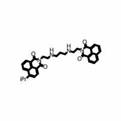 CC(C)c1ccc2c3c(cccc13)C(=O)N(CCNCCCNCCN1C(=O)c3cccc4cccc(c34)C1=O)C2=O